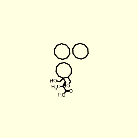 C1CCCCCCCCC1.C1CCCCCCCCC1.CC(=CC1(CO)CCCCCCCCC1CO)C(=O)O